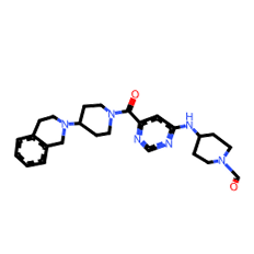 O=CN1CCC(Nc2cc(C(=O)N3CCC(N4CCc5ccccc5C4)CC3)ncn2)CC1